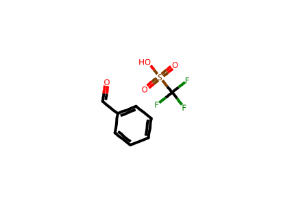 O=Cc1ccccc1.O=S(=O)(O)C(F)(F)F